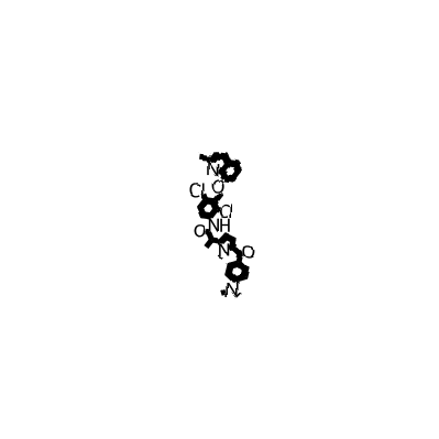 Cc1ccc2cccc(OCc3c(Cl)ccc(NC(=O)C(C)c4ccc(C(=O)c5ccc(N(C)C)cc5)n4C)c3Cl)c2n1